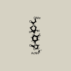 COCC(=O)N1C[C@@H]2[C@H](C1)[C@H]2c1ccc(N2C[C@H](CNC(C)=O)OC2=O)cc1F